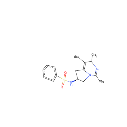 C[C@@H]1N=C(C(C)(C)C)N2C[C@@H](NS(=O)(=O)c3ccccc3)CC2=C1C(C)(C)C